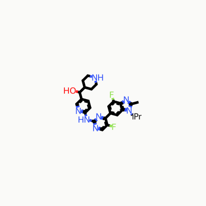 Cc1nc2c(F)cc(-c3nc(Nc4ccc(C(O)C5CCNCC5)cn4)ncc3F)cc2n1C(C)C